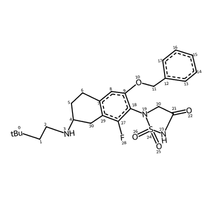 CC(C)(C)CCNC1CCc2cc(OCc3ccccc3)c(N3CC(=O)NS3(=O)=O)c(F)c2C1